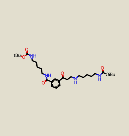 CC(C)COC(=O)NCCCCCNCCC(=O)c1cccc(C(=O)NCCCCCNC(=O)OC(C)(C)C)c1